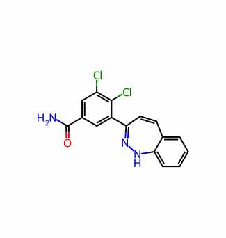 NC(=O)c1cc(Cl)c(Cl)c(C2=NNc3ccccc3C=C2)c1